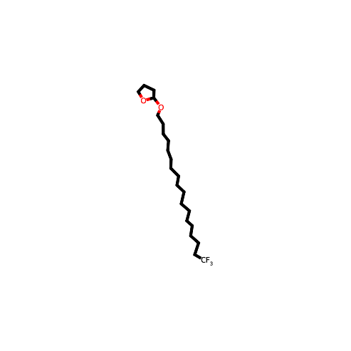 FC(F)(F)CCCCCCCCCCCCCCCCCOC1CCCO1